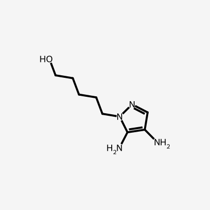 Nc1cnn(CCCCCO)c1N